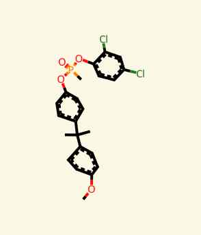 COc1ccc(C(C)(C)c2ccc(OP(C)(=O)Oc3ccc(Cl)cc3Cl)cc2)cc1